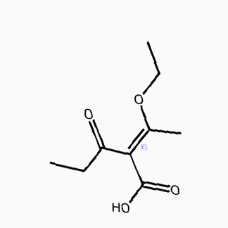 CCO/C(C)=C(/C(=O)O)C(=O)CC